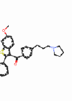 COc1ccc2c(C(=O)c3ccc(CCCN4CCCC4)cc3)c(-c3ccccc3)sc2c1